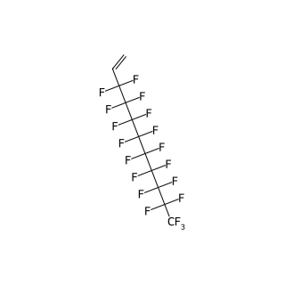 C=CC(F)(F)C(F)(F)C(F)(F)C(F)(F)C(F)(F)C(F)(F)C(F)(F)C(F)(F)C(F)(F)F